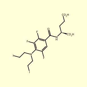 O=C(O)CC[C@H](NC(=O)c1cc(F)c(N(CCI)CCI)c(F)c1F)C(=O)O